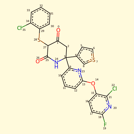 O=C1CC(c2ccsc2)(c2cccc(Oc3ccc(F)nc3Cl)n2)NC(=O)C1Sc1ccccc1Cl